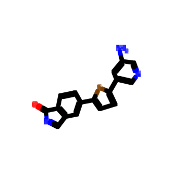 Nc1cncc(-c2ccc(-c3ccc4c(c3)C=NC4=O)s2)c1